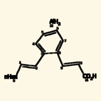 CCCCCC/C=C/c1ccccc1/C=C/C(=O)O.[AlH3]